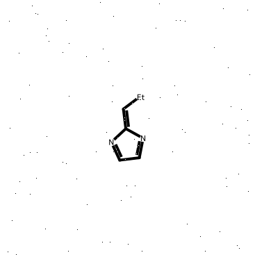 CCC=C1N=CC=N1